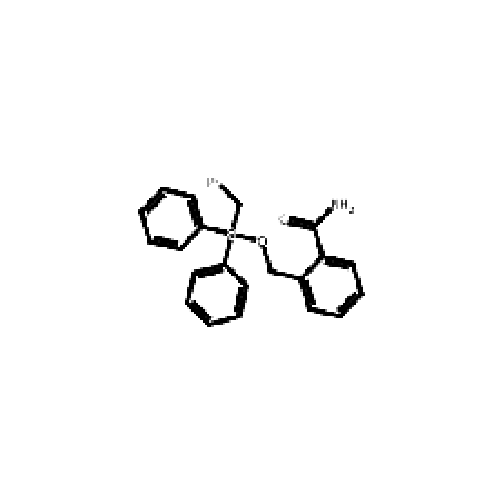 CC(C)C[Si](OCc1ccccc1C(N)=O)(c1ccccc1)c1ccccc1